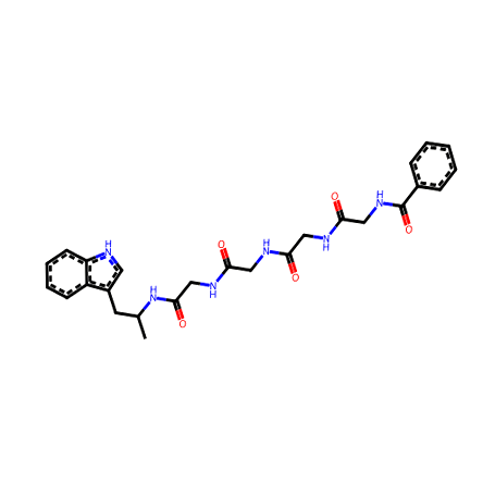 CC(Cc1c[nH]c2ccccc12)NC(=O)CNC(=O)CNC(=O)CNC(=O)CNC(=O)c1ccccc1